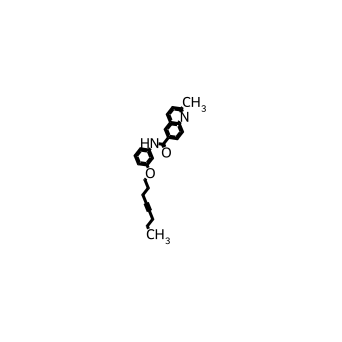 CCCC#CCCCOc1cccc(NC(=O)c2ccc3nc(C)ccc3c2)c1